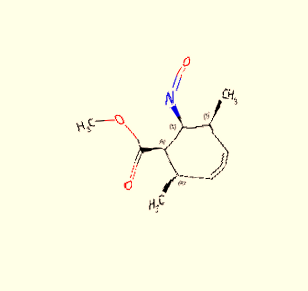 COC(=O)[C@H]1[C@@H](N=O)[C@@H](C)C=C[C@H]1C